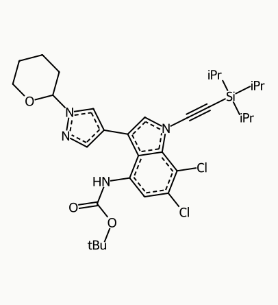 CC(C)[Si](C#Cn1cc(-c2cnn(C3CCCCO3)c2)c2c(NC(=O)OC(C)(C)C)cc(Cl)c(Cl)c21)(C(C)C)C(C)C